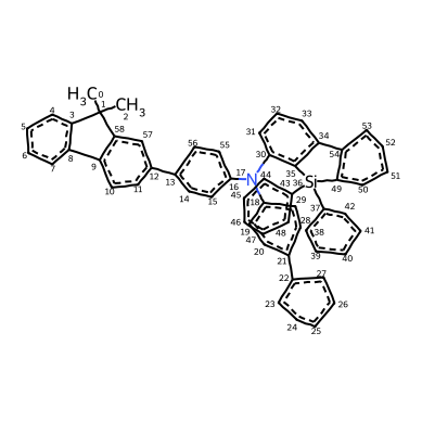 CC1(C)c2ccccc2-c2ccc(-c3ccc(N(c4ccc(-c5ccccc5)cc4)c4cccc5c4[Si](c4ccccc4)(c4ccccc4)c4ccccc4-5)cc3)cc21